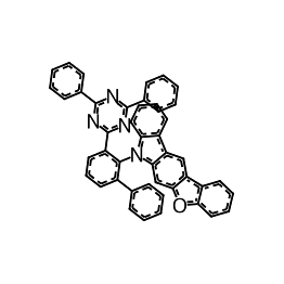 c1ccc(-c2nc(-c3ccccc3)nc(-c3cccc(-c4ccccc4)c3-n3c4ccccc4c4cc5c(cc43)oc3ccccc35)n2)cc1